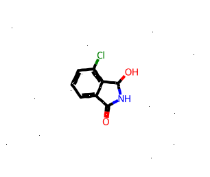 O=C1NC(O)c2c(Cl)cccc21